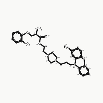 CC(COc1ccccc1[N+](=O)[O-])C(=O)OCCN1CCN(CCCN2c3ccccc3Sc3ccc(C(F)(F)F)cc32)CC1